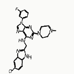 CN1CCN(c2nc(NCC3=NC4C=C(Cl)C=CC4N3)c3ncn(-c4cccc(F)c4)c3n2)CC1